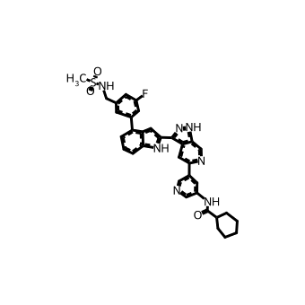 CS(=O)(=O)NCc1cc(F)cc(-c2cccc3[nH]c(-c4n[nH]c5cnc(-c6cncc(NC(=O)C7CCCCC7)c6)cc45)cc23)c1